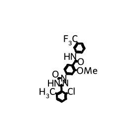 COc1cc(-n2nc(-c3c(C)cccc3Cl)[nH]c2=O)ccc1C(=O)Nc1cccc(C(F)(F)F)c1